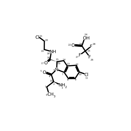 CC[C@H](N)C(=O)N1c2ccc(Cl)cc2C[C@H]1C(=O)NCCCl.O=C(O)C(F)(F)F